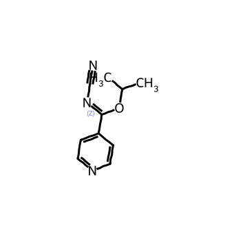 CC(C)O/C(=N\C#N)c1ccncc1